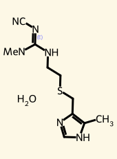 CN/C(=N\C#N)NCCSCc1nc[nH]c1C.O